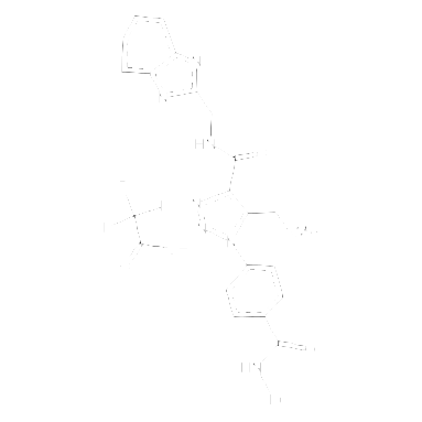 CCNC(=O)c1ccc(-n2nnc(C(=O)NCc3nc4ccccc4[nH]3)c2CSC)cc1.O=C(O)C(F)(F)F